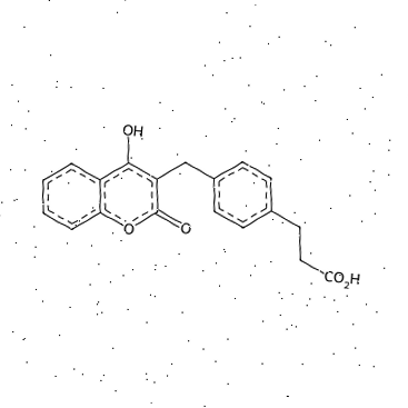 O=C(O)CCc1ccc(Cc2c(O)c3ccccc3oc2=O)cc1